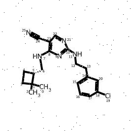 CC1(C)CC[C@@H]1CNc1nc(NCCc2cccc(Cl)c2)ncc1C#N